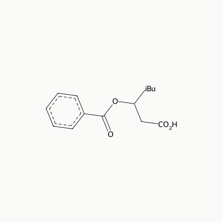 CCC(C)C(CC(=O)O)OC(=O)c1ccccc1